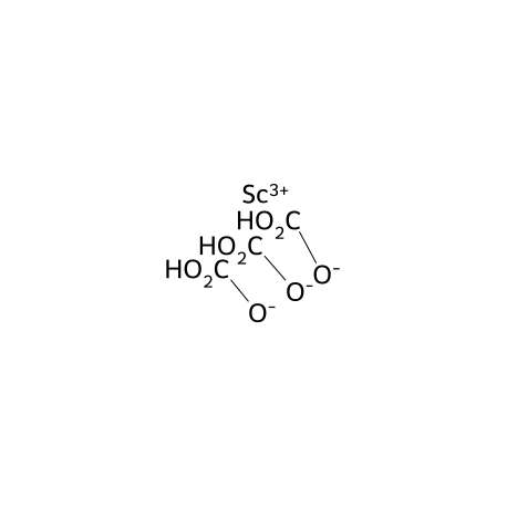 O=C([O-])O.O=C([O-])O.O=C([O-])O.[Sc+3]